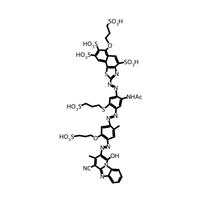 CC(=O)Nc1cc(N=Nc2cc(OCCCS(=O)(=O)O)c(N=Nc3c(C)c(C#N)c4nc5ccccc5n4c3O)cc2C)c(SCCCS(=O)(=O)O)cc1N=Nc1nc2c(S(=O)(=O)O)cc3c(OCCCS(=O)(=O)O)c(S(=O)(=O)O)c(S(=O)(=O)O)cc3c2s1